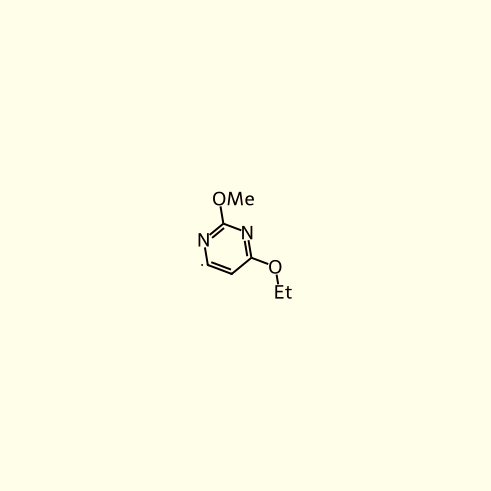 CCOc1c[c]nc(OC)n1